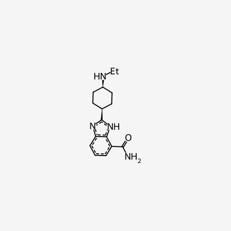 CCN[C@H]1CC[C@@H](c2nc3cccc(C(N)=O)c3[nH]2)CC1